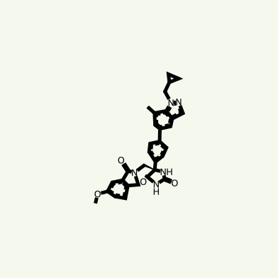 COc1ccc2c(c1)C(=O)N(C[C@@]1(c3ccc(-c4cc(C)c5c(cnn5CC5CC5)c4)cc3)NC(=O)NC1=O)C2